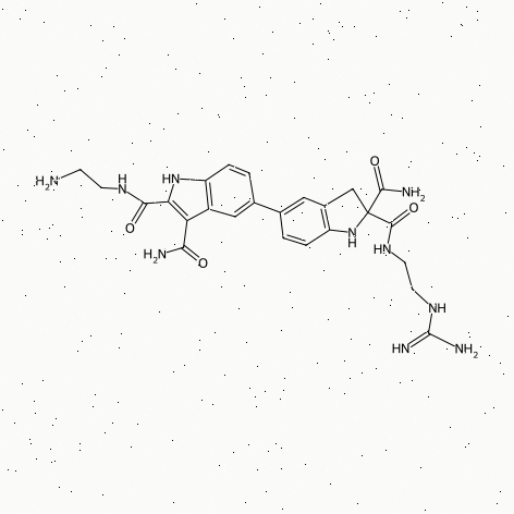 N=C(N)NCCNC(=O)C1(C(N)=O)Cc2cc(-c3ccc4[nH]c(C(=O)NCCN)c(C(N)=O)c4c3)ccc2N1